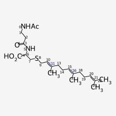 CC(=O)NCCC(=O)NC(CSC/C=C(\C)CC/C=C(\C)CCC=C(C)C)C(=O)O